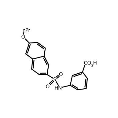 CCCOc1ccc2cc(S(=O)(=O)Nc3cccc(C(=O)O)c3)ccc2c1